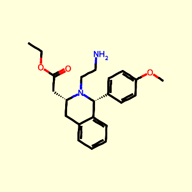 CCOC(=O)C[C@H]1Cc2ccccc2[C@@H](c2ccc(OC)cc2)N1CCN